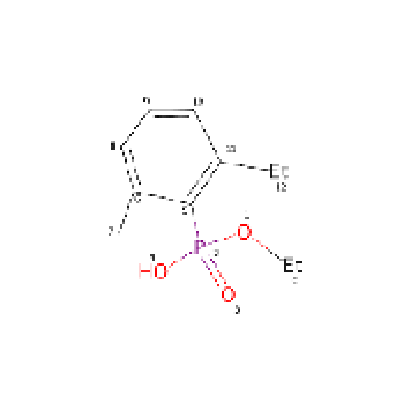 CCOP(=O)(O)c1c(C)cccc1CC